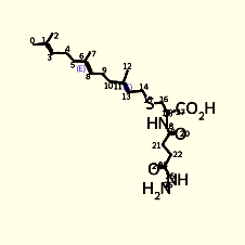 CC(C)=CCC/C(C)=C/CC/C(C)=C/CSC[C@H](NC(=O)CCC(=O)NN)C(=O)O